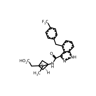 C[C@H]1C2(CC(=O)O)CC1(NC(=O)c1n[nH]c3cccc(Cc4ccc(C(F)(F)F)cc4)c13)C2